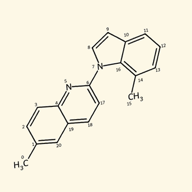 Cc1ccc2nc(-n3ccc4cccc(C)c43)ccc2c1